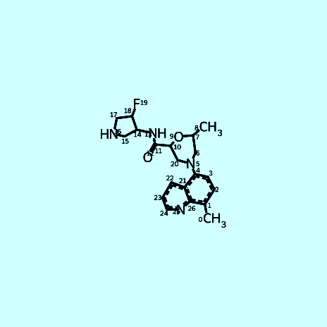 Cc1ccc(N2CC(C)OC(C(=O)NC3CNCC3F)C2)c2cccnc12